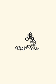 COc1cc(N2CCC(C)(N3CCOCC3)CC2)ccc1Nc1ncc2ccc(-c3ccccc3N(C)S(C)(=O)=O)n2n1